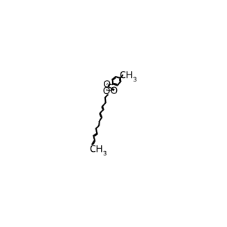 C/C=C/C=C/CCC/C=C/C=C/CCCOS(=O)(=O)c1ccc(C)cc1